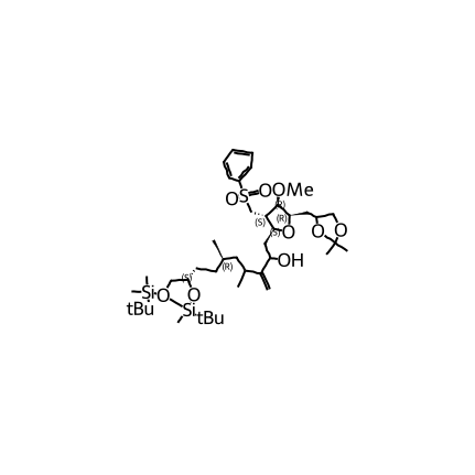 C=C(C(C)C[C@H](C)CC[C@@H](CO[Si](C)(C)C(C)(C)C)O[Si](C)(C)C(C)(C)C)C(O)C[C@@H]1O[C@H](CC2COC(C)(C)O2)[C@H](OC)[C@H]1CS(=O)(=O)c1ccccc1